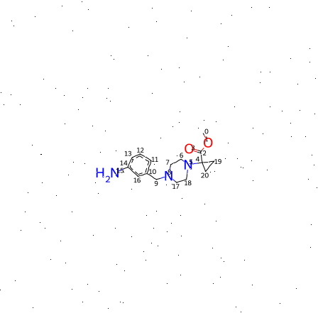 COC(=O)C1(N2CCN(Cc3cccc(N)c3)CC2)CC1